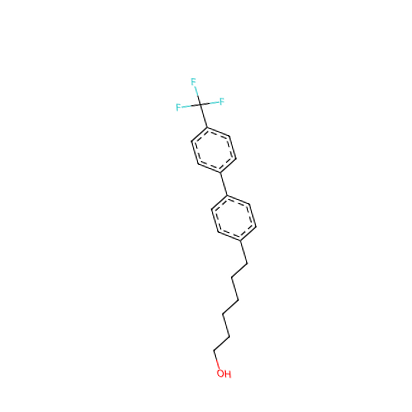 OCCCCCCc1ccc(-c2ccc(C(F)(F)F)cc2)cc1